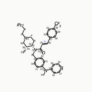 CC(C)CCN1CC[C@H](N(Cc2ccc(N(C)c3ccncc3)cc2)C(=O)/C=C/c2ccc(C(F)(F)F)cc2)[C@H](F)C1